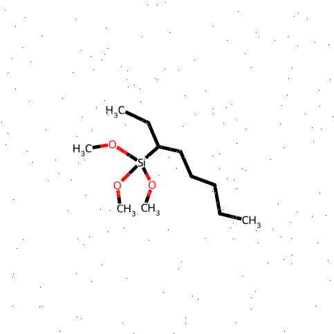 CCCCCC(CC)[Si](OC)(OC)OC